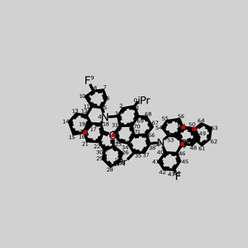 CC(C)c1cc(N(c2ccc(F)cc2-c2ccccc2)c2cccc3c2oc2ccccc23)c2ccc3c(C(C)C)cc(N(c4ccc(F)cc4-c4ccccc4)c4cccc5c4oc4ccccc45)c4ccc1c2c34